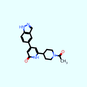 CC(=O)N1CCC(c2cc(-c3ccc4[nH]ncc4c3)cc(=O)[nH]2)CC1